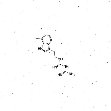 Cc1cccc2c(CCNC(=N)NC(=N)N)c[nH]c12